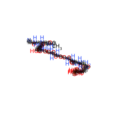 Cc1ccccc1NC(=O)Nc1ccc(CC(=O)N[C@@H](CCCCNC(=O)CCc2cccnc2)C(=O)N[C@@H](CCCC(=O)O)C(=O)NC2(C(=O)NCCOCCOCCNC(=O)CCC(=O)NCCOCCOCCNC(=O)CCC(=O)N[C@@H](CCCCNC(=O)[C@H](N)CSC3CC(=O)N(CC4CCC(C(=O)NCCCC(O)(P(=O)(O)O)P(=O)(O)O)CC4)C3=O)C(N)=O)CCCCC2)cc1